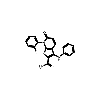 NC(=O)c1sc2c(ccc(=O)n2-c2ccccc2Cl)c1Nc1ccccc1